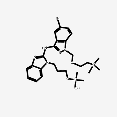 CC(C)(C)[Si](C)(C)OCCCn1c(Nc2nn(COCC[Si](C)(C)C)c3ccc(Br)cc23)nc2ccccc21